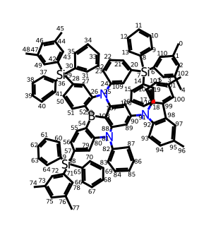 Cc1cc(C)cc([Si](c2ccccc2)(c2ccccc2)c2cccc(N3c4cc([Si](c5ccccc5)(c5ccccc5)c5cc(C)cc(C)c5)ccc4B4c5ccc([Si](c6ccccc6)(c6ccccc6)c6cc(C)cc(C)c6)cc5N(c5ccccc5)c5cc(-n6c7ccc(C)cc7c7cc(C)ccc76)cc3c54)c2)c1